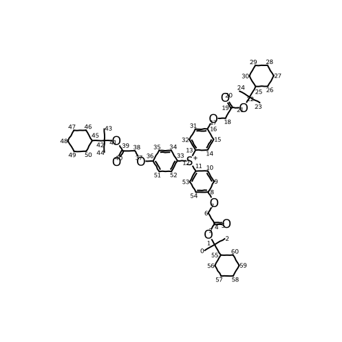 CC(C)(OC(=O)COc1ccc([S+](c2ccc(OCC(=O)OC(C)(C)C3CCCCC3)cc2)c2ccc(OCC(=O)OC(C)(C)C3CCCCC3)cc2)cc1)C1CCCCC1